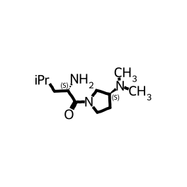 CC(C)C[C@H](N)C(=O)N1CC[C@H](N(C)C)C1